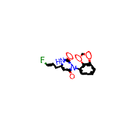 O=c1cc(CC=CF)[nH]c(=O)n1-c1cccc2c1OCO2